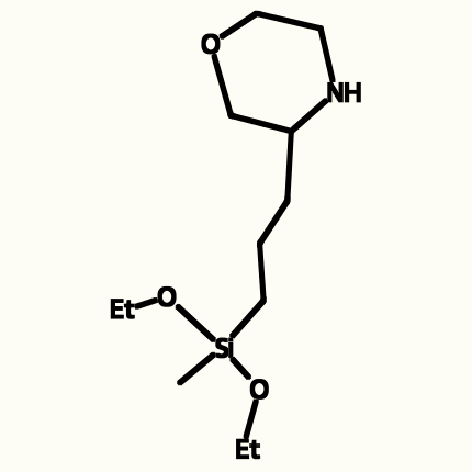 CCO[Si](C)(CCCC1COCCN1)OCC